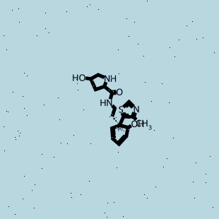 Cc1ncsc1[C@]1(CCNC(=O)C2CC(O)CN2)C=CC=CC1O